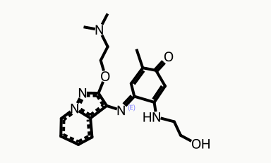 CC1=C/C(=N\c2c(OCCN(C)C)nn3ccccc23)C(NCCO)=CC1=O